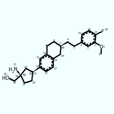 COc1cc(CC[C@@H]2CCc3cc([C@H]4CC[C@](N)(CO)C4)ccc3C2)ccc1F